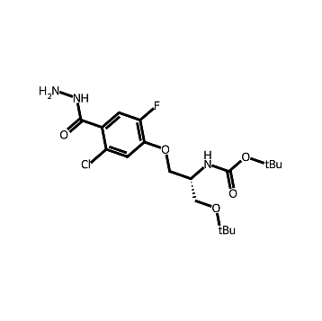 CC(C)(C)OC[C@H](COc1cc(Cl)c(C(=O)NN)cc1F)NC(=O)OC(C)(C)C